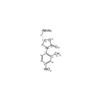 CC(=O)NC[C@H]1CN(c2ccc([N+](=O)[O-])cc2C)C(=O)O1